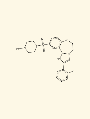 Cc1cccnc1C1=CN2CCOc3ccc(S(=O)(=O)C4CCN(C(C)C)CC4)cc3C2N1